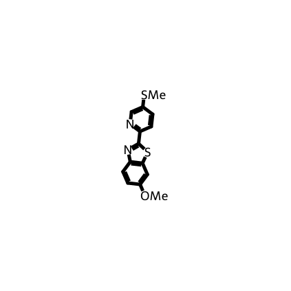 COc1ccc2nc(-c3ccc(SC)cn3)sc2c1